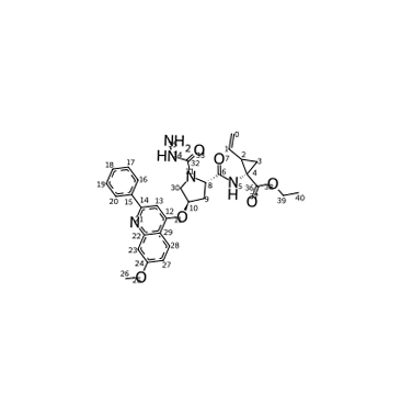 C=CC1C[C@@]1(NC(=O)[C@@H]1C[C@@H](Oc2cc(-c3ccccc3)nc3cc(OC)ccc23)CN1C(=O)NN)C(=O)OCC